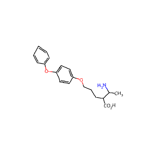 CC(N)C(CCCOc1ccc(Oc2ccccc2)cc1)C(=O)O